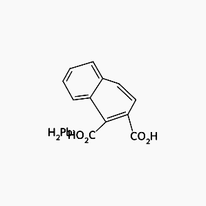 O=C(O)c1ccc2ccccc2c1C(=O)O.[PbH2]